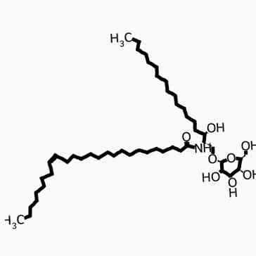 CCCCCCCC/C=C\CCCCCCCCCCCCCCCC(=O)N[C@@H](CO[C@@H]1O[C@H](CO)[C@H](O)C(O)C1O)[C@H](O)CCCCCCCCCCCCCCC